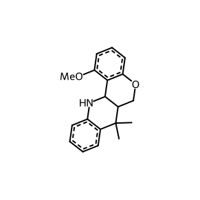 COc1cccc2c1C1Nc3ccccc3C(C)(C)C1CO2